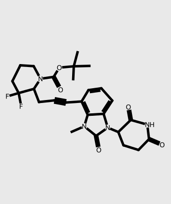 Cn1c(=O)n(C2CCC(=O)NC2=O)c2cccc(C#CCC3N(C(=O)OC(C)(C)C)CCCC3(F)F)c21